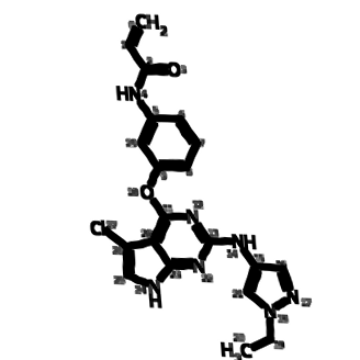 C=CC(=O)Nc1cccc(Oc2nc(Nc3cnn(CC)c3)nc3[nH]cc(Cl)c23)c1